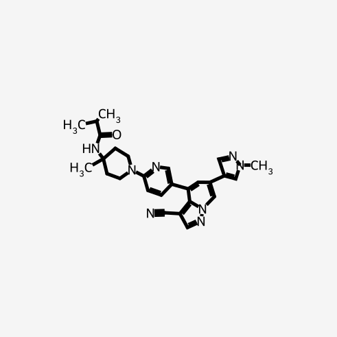 CC(C)C(=O)NC1(C)CCN(c2ccc(-c3cc(-c4cnn(C)c4)cn4ncc(C#N)c34)cn2)CC1